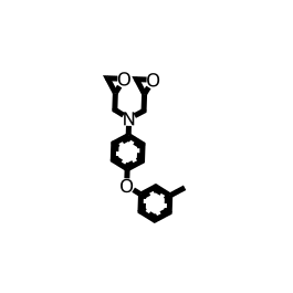 Cc1cccc(Oc2ccc(N(CC3CO3)CC3CO3)cc2)c1